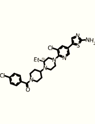 CC[C@H]1CN(c2ncc(-c3cnc(N)s3)cc2Cl)CCN1C1CCN(C(=O)c2ccc(Cl)cc2)CC1